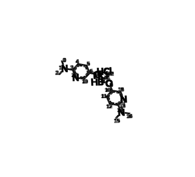 CN(C)c1ccc(OBOc2ccc(N(C)C)nc2)cn1.Cl.Cl